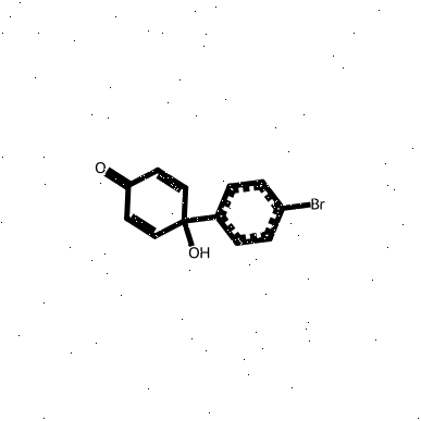 O=C1C=CC(O)(c2ccc(Br)cc2)C=C1